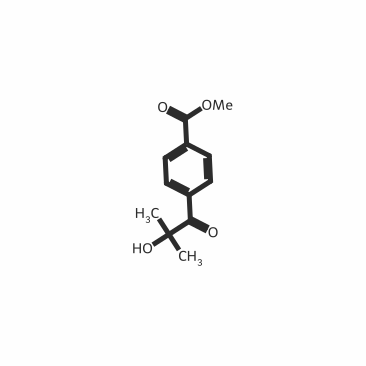 COC(=O)c1ccc(C(=O)C(C)(C)O)cc1